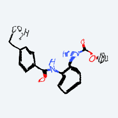 CC(C)(C)OC(=O)Nc1ccccc1NC(=O)c1ccc(CC(=O)O)cc1